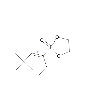 CC/C(=C\C(C)(C)C)P1(=O)OCCO1